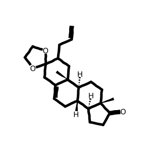 C=CCC1C[C@@]2(C)C(=CC[C@@H]3[C@@H]2CC[C@]2(C)C(=O)CC[C@@H]32)CC12OCCO2